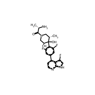 C[C@H](N)C(=O)N1C[C@@H](C)C(O)(c2c(F)cc(-c3ccnc4[nH]cc(F)c34)cc2F)[C@@H](C)C1